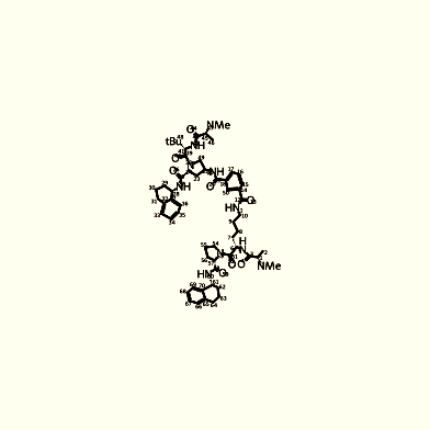 CN[C@@H](C)C(=O)N[C@@H](CCCCNC(=O)c1cccc(C(=O)N[C@H]2C[C@@H](C(=O)N[C@@H]3CCCc4ccccc43)N(C(=O)[C@@H](NC(=O)[C@H](C)NC)C(C)(C)C)C2)c1)C(=O)N1CCC[C@H]1C(=O)N[C@@H]1CCCc2ccccc21